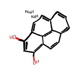 Oc1cc(O)c2ccc3cccc4ccc1c2c43.[NaH].[NaH]